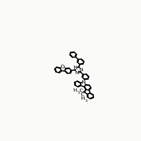 CC1(C)c2ccccc2-c2ccc3c(c21)c1ccccc1n3-c1cccc(-c2nc(-c3cccc(-c4ccccc4)c3)nc(-c3ccc4c(c3)oc3ccccc34)n2)c1